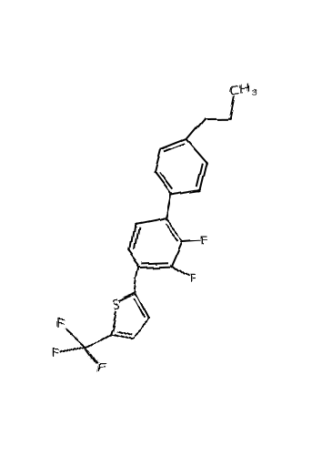 CCCc1ccc(-c2ccc(-c3ccc(C(F)(F)F)s3)c(F)c2F)cc1